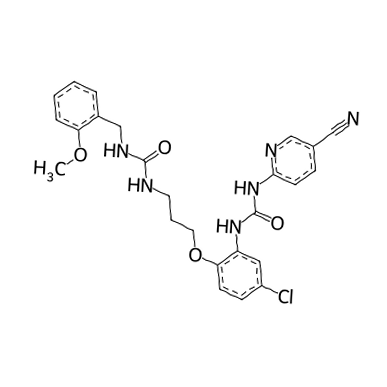 COc1ccccc1CNC(=O)NCCCOc1ccc(Cl)cc1NC(=O)Nc1ccc(C#N)cn1